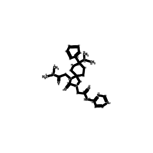 CN(C)C(=O)CN1C(=O)N(CC(=O)Nc2ccncn2)CC12CCC(c1ccccc1)(N(C)C)CC2